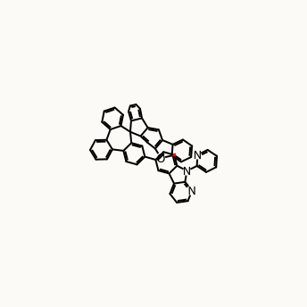 c1ccc(-n2c3ccc(-c4ccc5c(c4)C4(c6ccccc6-c6ccccc6-5)c5ccccc5-c5cc6c(cc54)oc4ccccc46)cc3c3cccnc32)nc1